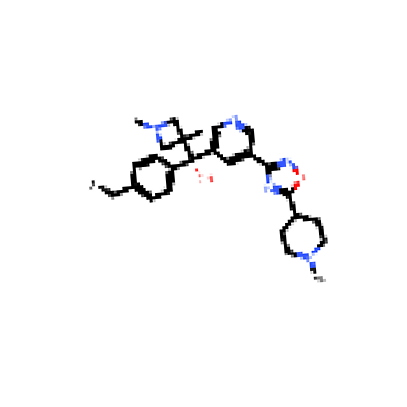 CC(=O)N1CCC(c2nc(-c3cncc([C@@](O)(c4ccc(CC(F)(F)F)cc4)C4(C)CN(C)C4)c3)no2)CC1